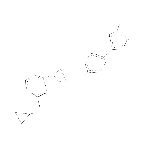 Oc1cc(-c2cnc(O[C@H]3C[C@](F)(c4ccnc(OC5CC5)c4)C3)cn2)on1